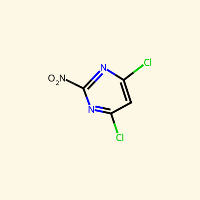 O=[N+]([O-])c1nc(Cl)cc(Cl)n1